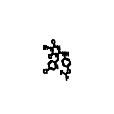 CC(C)n1c(=O)nc(Nc2ccc(OC(F)F)cc2)n(Cc2ccc(Cl)cn2)c1=O